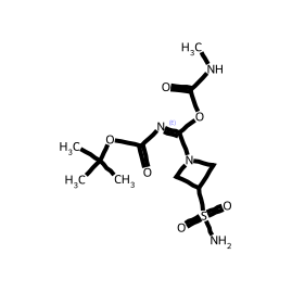 CNC(=O)O/C(=N/C(=O)OC(C)(C)C)N1CC(S(N)(=O)=O)C1